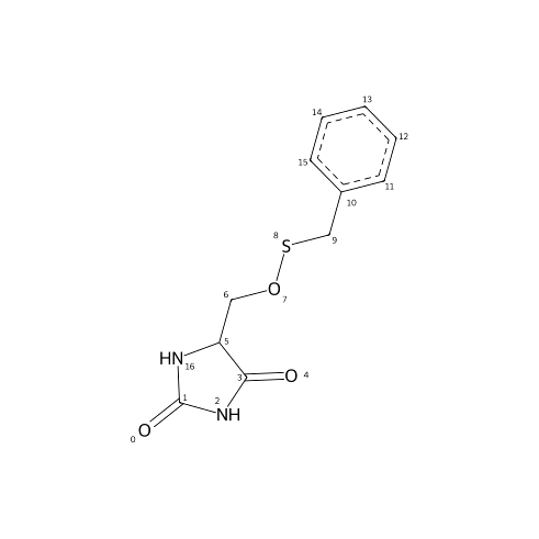 O=C1NC(=O)C(COSCc2ccccc2)N1